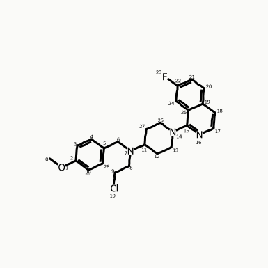 COc1ccc(CN(CCCl)C2CCN(c3nccc4ccc(F)cc34)CC2)cc1